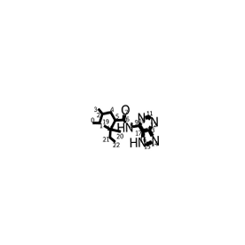 CCC(C)CC(C(=O)Nc1ncnc2nc[nH]c12)C(C)(C)CC